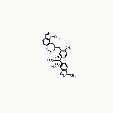 CC[C@@H]1CN(Cc2cc(C(c3ccc4c(nnn4C)c3C)C(C)(C)C(=O)O)ccc2C)Cc2c(ccc3cnn(C)c23)O1